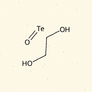 O=[Te].OCCO